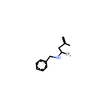 C=C(C)CC(NCc1ccccc1)C(F)(F)F